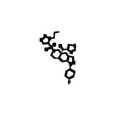 CCCn1nncc1S(=O)(=O)N1CCC2=Cc3c(cnn3-c3ccc(F)cc3)C[C@]2(C(=O)c2cscn2)C1